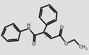 CCOC(=O)/C=C(/C(=O)Nc1ccccc1)c1ccccc1